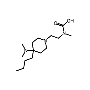 CCCCC1(N(C)C)CCN(CCN(C)C(=O)O)CC1